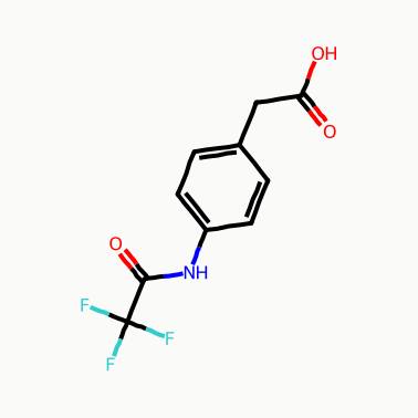 O=C(O)Cc1ccc(NC(=O)C(F)(F)F)cc1